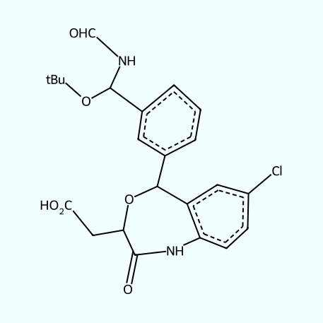 CC(C)(C)OC(NC=O)c1cccc(C2OC(CC(=O)O)C(=O)Nc3ccc(Cl)cc32)c1